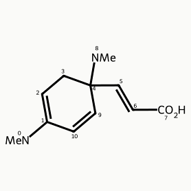 CNC1=CCC(C=CC(=O)O)(NC)C=C1